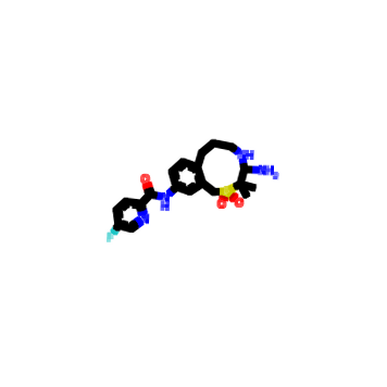 CC1(C)C(N)NCCCc2ccc(NC(=O)c3ccc(F)cn3)cc2CS1(=O)=O